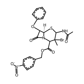 CC(=O)NC1S[C@@H]2C(Oc3ccccc3)C(=O)N2C(C(=O)OCc2ccc([N+](=O)[O-])cc2)C1(C)Br